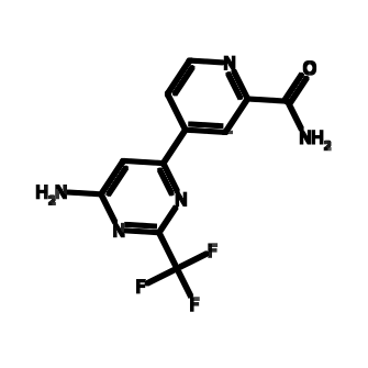 NC(=O)c1[c]c(-c2cc(N)nc(C(F)(F)F)n2)ccn1